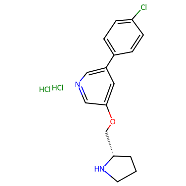 Cl.Cl.Clc1ccc(-c2cncc(OC[C@@H]3CCCN3)c2)cc1